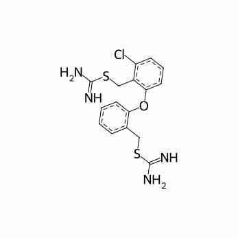 N=C(N)SCc1ccccc1Oc1cccc(Cl)c1CSC(=N)N